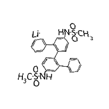 CS(=O)(=O)Nc1ccc(-c2ccc(NS(C)(=O)=O)cc2-c2ccccc2)c(-c2ccccc2)c1.[Li]